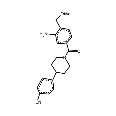 COCc1ccc(C(=O)N2CCC(c3ccc(C#N)cc3)CC2)cc1N